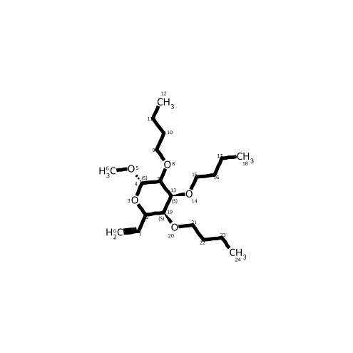 C=CC1O[C@H](OC)C(OCCCC)[C@@H](OCCCC)[C@H]1OCCCC